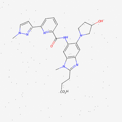 Cn1ccc(-c2cccc(C(=O)Nc3cc4c(cc3N3CCC(O)C3)nc(CCC(=O)O)n4C)n2)n1